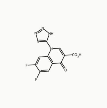 O=C(O)c1cn(-c2nnn[nH]2)c2cc(F)c(F)cc2c1=O